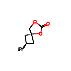 CC(C)[C@H]1C[C@@]2(COC(=O)O2)C1